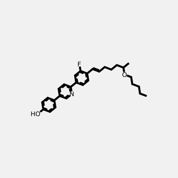 CCCCCOC(C)CCCC=Cc1ccc(-c2ccc(-c3ccc(O)cc3)cn2)cc1F